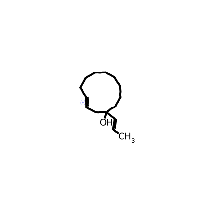 CC=CC1(O)C/C=C/CCCCCCCC1